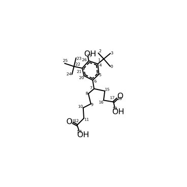 CC(C)(C)c1cc(C(CCCCC(=O)O)CCC(=O)O)cc(C(C)(C)C)c1O